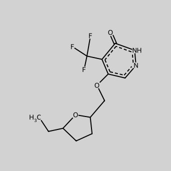 CCC1CCC(COc2cn[nH]c(=O)c2C(F)(F)F)O1